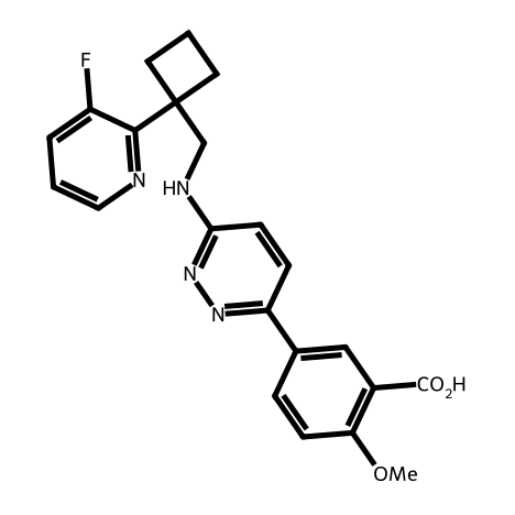 COc1ccc(-c2ccc(NCC3(c4ncccc4F)CCC3)nn2)cc1C(=O)O